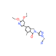 CCOc1cc(-c2cc(C)c3c(c2)CN(c2cnn(CC#N)c2)C3=O)cnc1OCC